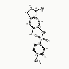 Nc1ccc(S(=O)(=O)Nc2cc3c(cc2F)COB3O)cn1